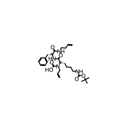 C=CCCNC(=O)[C@@H](Cc1ccccc1)NC(=O)[C@H](CCCCNC(=O)OC(C)(C)C)N(CC=C)C(=O)O